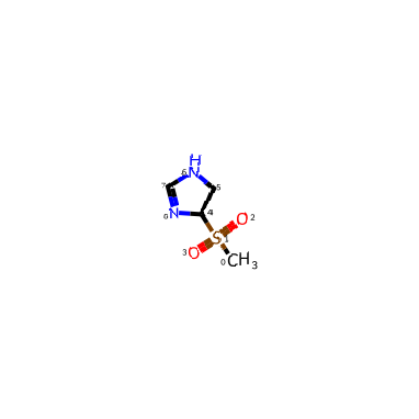 CS(=O)(=O)C1CN[C]=N1